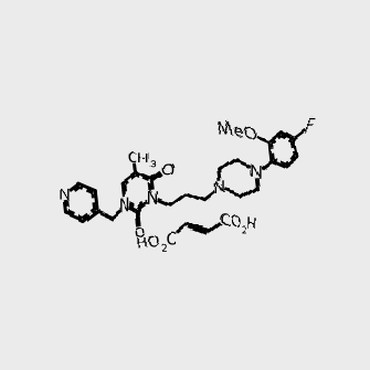 COc1cc(F)ccc1N1CCN(CCCn2c(=O)c(C)cn(Cc3ccncc3)c2=O)CC1.O=C(O)C=CC(=O)O